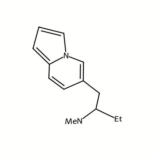 CCC(Cc1ccc2cccn2c1)NC